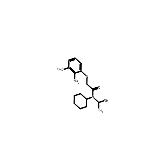 CC(O)N(C(=O)COc1cccc(C=O)c1[N+](=O)[O-])C1CCCCC1